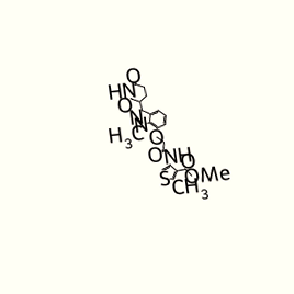 COC(=O)c1c(NC(=O)COc2cccc3c(C4CCC(=O)NC4=O)nn(C)c23)csc1C